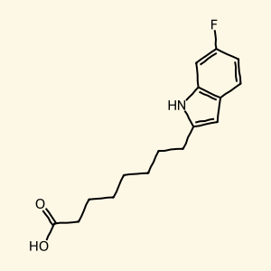 O=C(O)CCCCCCCc1cc2ccc(F)cc2[nH]1